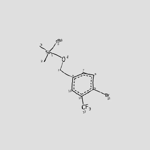 CC(C)(C)[Si](C)(C)OCc1ccc(Br)c(C(F)(F)F)c1